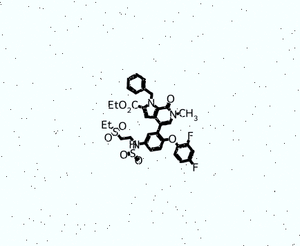 CCOC(=O)c1cc2c(-c3cc(N(CCS(=O)(=O)CC)[SH](=O)=O)ccc3Oc3ccc(F)cc3F)cn(C)c(=O)c2n1Cc1ccccc1